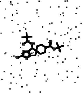 CC(C)(C)OC(=O)N1CCC2(CC1)Cc1nc(Cl)sc1[C@H]2N[S+]([O-])C(C)(C)C